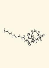 CCCCCCCCCCCCN1C(=O)NC2(CCCCC(C)(C)N(C(C)=O)C(C)(C)C2)C1=O